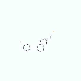 CC(C)Oc1ccc(Oc2ccc3cc(C(C)NS(C)(=O)=O)ccc3c2)cc1